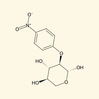 O=[N+]([O-])c1ccc(O[C@@H]2[C@@H](O)[C@H](O)CO[C@H]2O)cc1